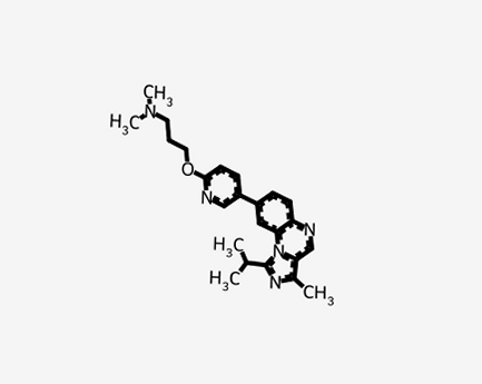 Cc1nc(C(C)C)n2c1cnc1ccc(-c3ccc(OCCCN(C)C)nc3)cc12